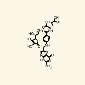 Nc1nc(=O)c2nc(CNc3ccc(C(=O)N[C@@H](CCC(=O)O)C(=O)O)cc3)cnc2[nH]1.O=C1O[C@H]([C@@H](O)CO)C(O)=C1O